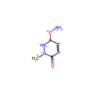 CN1NC(ON)C=CC1=O